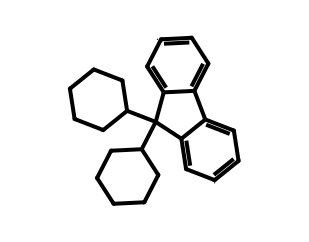 [c]1ccc2c(c1)C(C1CCCCC1)(C1CCCCC1)c1c[c]ccc1-2